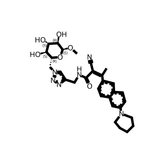 CO[C@H]1O[C@H](Cn2cc(CNC(=O)C(C#N)=C(C)c3ccc4cc(N5CCCCC5)ccc4c3)nn2)[C@@H](O)[C@H](O)[C@H]1O